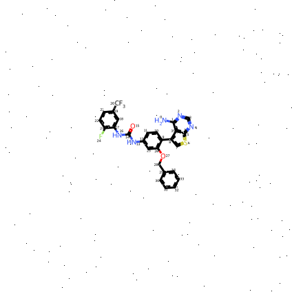 Nc1ncnc2scc(-c3ccc(NC(=O)Nc4cc(C(F)(F)F)ccc4F)cc3OCc3ccccc3)c12